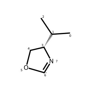 CC(C)[C@H]1CO[C]=N1